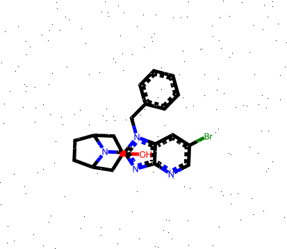 OC1CC2CCC(C1)N2c1nc2ncc(Br)cc2n1Cc1ccccc1